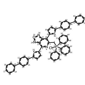 ClP(Cc1nc(-c2ccc(-c3ccc(-c4ccccc4)cc3)s2)c2nonc2c1-c1ccc(-c2ccc(-c3ccccc3)cc2)s1)(c1ccccc1)(c1ccccc1)c1ccccc1